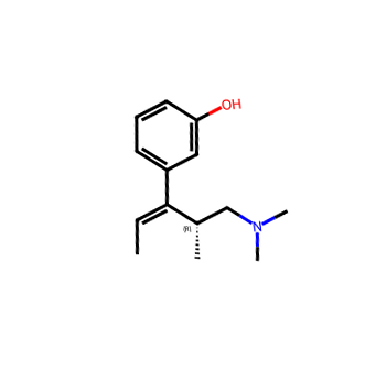 CC=C(c1cccc(O)c1)[C@@H](C)CN(C)C